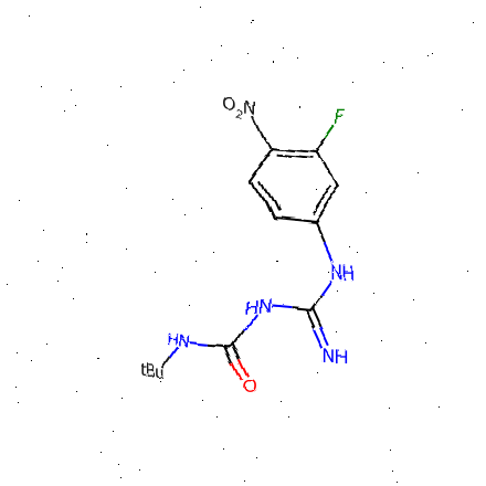 CC(C)(C)NC(=O)NC(=N)Nc1ccc([N+](=O)[O-])c(F)c1